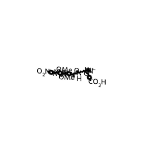 COc1cc(/N=N/c2ccc([N+](=O)[O-])cc2)c(OC)cc1/N=N/c1ccc(N(C)CCC(=O)NCCCC(N=[N+]=[N-])OCc2ccc(C(=O)O)cc2)cc1